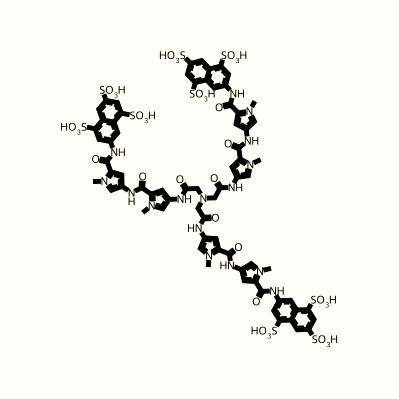 Cn1cc(NC(=O)CN(CC(=O)Nc2cc(C(=O)Nc3cc(C(=O)Nc4cc(S(=O)(=O)O)c5cc(S(=O)(=O)O)cc(S(=O)(=O)O)c5c4)n(C)c3)n(C)c2)CC(=O)Nc2cc(C(=O)Nc3cc(C(=O)Nc4cc(S(=O)(=O)O)c5cc(S(=O)(=O)O)cc(S(=O)(=O)O)c5c4)n(C)c3)n(C)c2)cc1C(=O)Nc1cc(C(=O)Nc2cc(S(=O)(=O)O)c3cc(S(=O)(=O)O)cc(S(=O)(=O)O)c3c2)n(C)c1